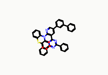 c1ccc(-c2cccc(-c3cnc(N4c5ccccc5Sc5ccccc54)c(-c4nc(-c5ccccc5)nc(-c5ccccc5)n4)c3)c2)cc1